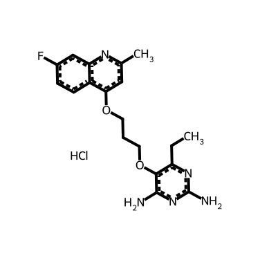 CCc1nc(N)nc(N)c1OCCCOc1cc(C)nc2cc(F)ccc12.Cl